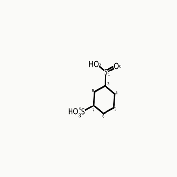 O=S(O)C1CCCC(S(=O)(=O)O)C1